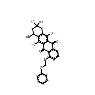 CC(=O)C1(O)Cc2c(O)c3c(c(O)c2C(O)C1)C(=O)c1c(OCOc2ccccc2)cccc1C3=O